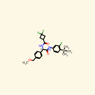 COCc1ccc([C@@H](NC(=O)C2CC(F)(F)C2)C(=O)Nc2ccc([Si](C)(C)C)c(F)c2)cc1